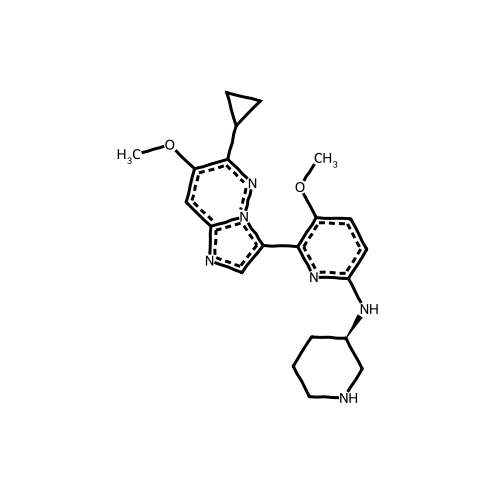 COc1ccc(N[C@@H]2CCCNC2)nc1-c1cnc2cc(OC)c(C3CC3)nn12